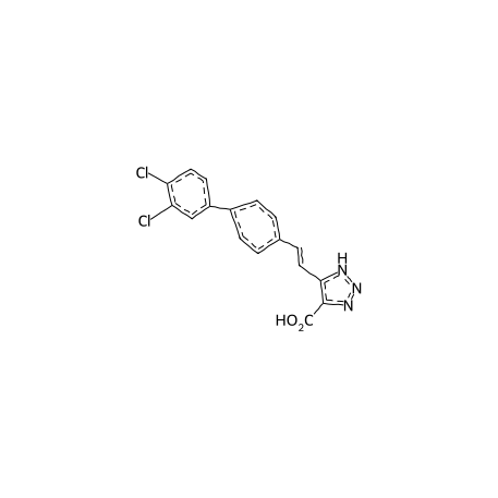 O=C(O)c1nn[nH]c1C=Cc1ccc(-c2ccc(Cl)c(Cl)c2)cc1